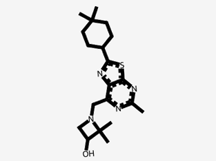 Cc1nc(CN2CC(O)C2(C)C)c2nc(C3CCC(C)(C)CC3)sc2n1